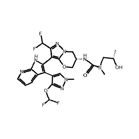 C[C@H](O)CN(C)C(=O)N[C@@H]1COc2c(-c3[nH]c4ncccc4c3-c3cn(C)nc3OC(F)F)c(C(F)F)nn2C1